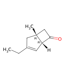 CCC1=C[C@H]2C(=O)C[C@@]2(C)C1